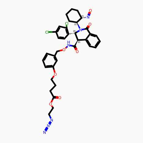 [N-]=[N+]=NCCOC(=O)CCCOc1cccc(CONC(=O)[C@@H]2c3ccccc3C(=O)N([C@H]3CCCC[C@@H]3N=O)[C@H]2c2ccc(Cl)cc2Cl)c1